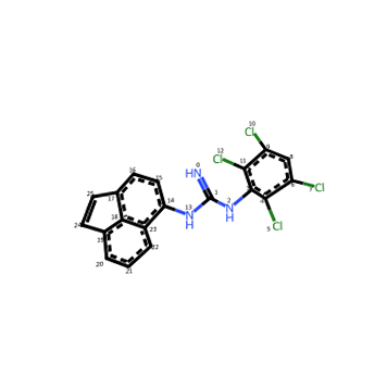 N=C(Nc1c(Cl)c(Cl)cc(Cl)c1Cl)Nc1ccc2c3c(cccc13)C=C2